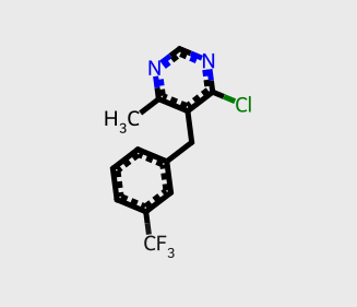 Cc1ncnc(Cl)c1Cc1cccc(C(F)(F)F)c1